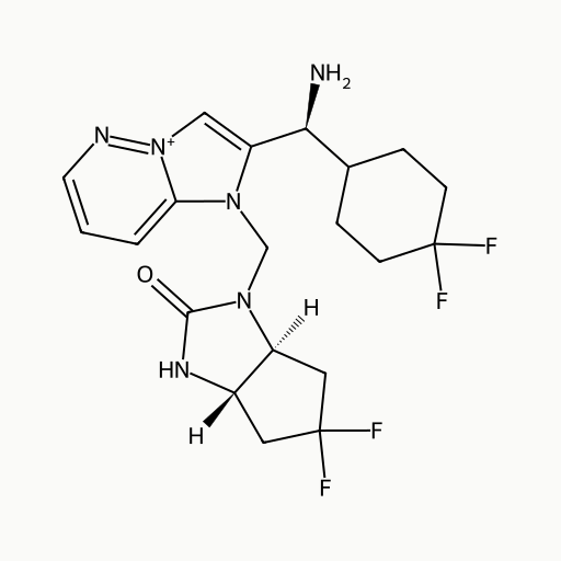 N[C@H](c1c[n+]2ncccc2n1CN1C(=O)N[C@H]2CC(F)(F)C[C@@H]21)C1CCC(F)(F)CC1